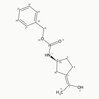 CC(O)=C1CC[C@H](NC(=O)OCc2ccccc2)C1